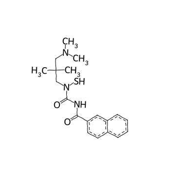 CN(C)CC(C)(C)CN(S)C(=O)NC(=O)c1ccc2ccccc2c1